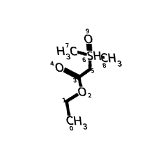 CCOC(=O)C[SH](C)(C)=O